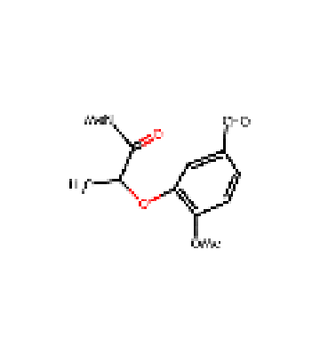 CNC(=O)C(C)Oc1cc(C=O)ccc1OC